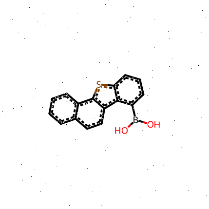 OB(O)c1cccc2sc3c4ccccc4ccc3c12